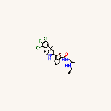 C#CCNC(=C)CNC(=O)c1sc(C(=N)C[C@@](C)(c2cc(Cl)c(F)c(Cl)c2)C(F)(F)F)c2c1CCC2